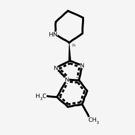 Cc1cc(C)n2nc([C@@H]3CCCCN3)nc2c1